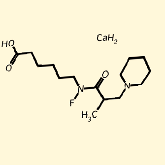 CC(CN1CCCCC1)C(=O)N(F)CCCCCC(=O)O.[CaH2]